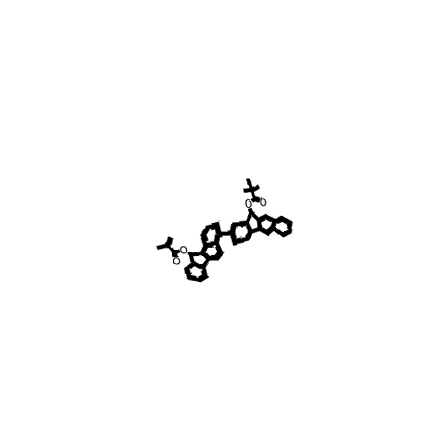 C=C(C)C(=O)OC1c2ccccc2-c2ccc3c(-c4ccc5c(c4)C(OC(=O)C(C)(C)C)c4cc6ccccc6cc4-5)cccc3c21